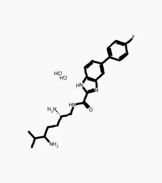 CC(C)C(N)CC[C@H](N)CNC(=O)c1nc2cc(-c3ccc(F)cc3)ccc2[nH]1.Cl.Cl